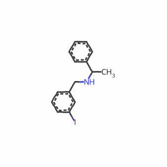 CC(NCc1cccc(I)c1)c1ccccc1